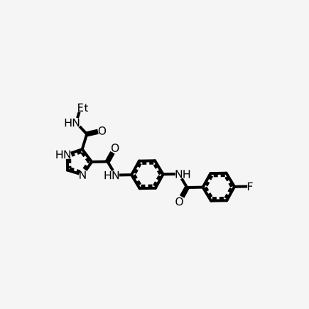 CCNC(=O)c1[nH]cnc1C(=O)Nc1ccc(NC(=O)c2ccc(F)cc2)cc1